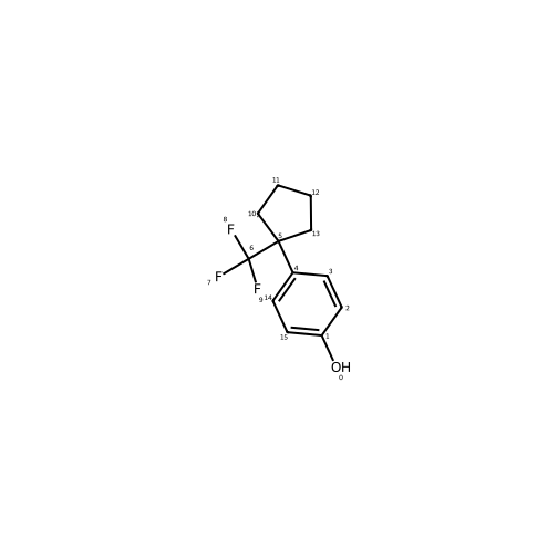 Oc1ccc(C2(C(F)(F)F)[CH]CCC2)cc1